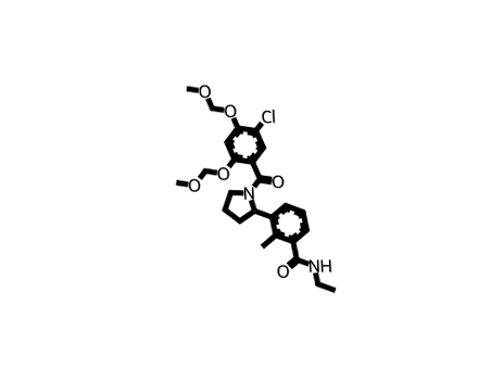 CCNC(=O)c1cccc(C2CCCN2C(=O)c2cc(Cl)c(OCOC)cc2OCOC)c1C